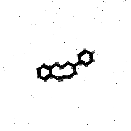 O=[C]OC(CSSc1ccccc1[N+](=O)[O-])c1ccccc1